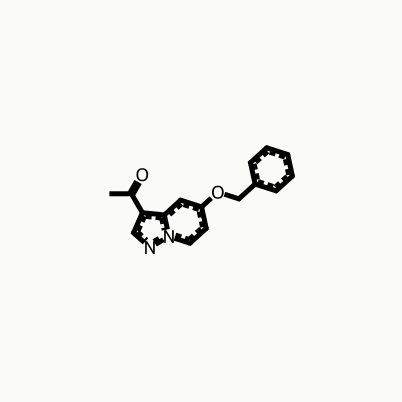 CC(=O)c1cnn2ccc(OCc3ccccc3)cc12